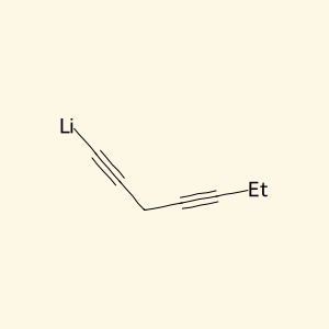 [Li][C]#CCC#CCC